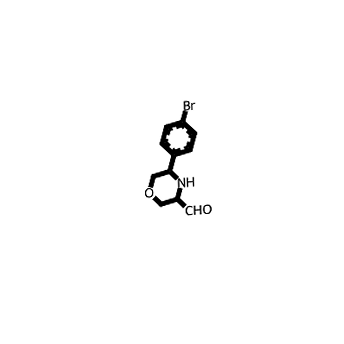 O=CC1COCC(c2ccc(Br)cc2)N1